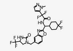 Cn1nccc1C(F)(F)C(=O)NC(c1nc2cc(CN3CC(C(F)(F)F)NC3=O)ccc2o1)C1CCC(F)(F)CC1